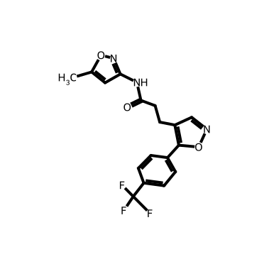 Cc1cc(NC(=O)CCc2cnoc2-c2ccc(C(F)(F)F)cc2)no1